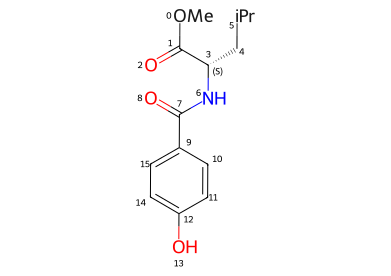 COC(=O)[C@H](CC(C)C)NC(=O)c1ccc(O)cc1